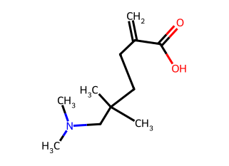 C=C(CCC(C)(C)CN(C)C)C(=O)O